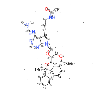 CSCOC1C[C@H](n2cc(C#CCNC(=O)C(F)(F)F)c3c(/N=C/N(C)C)ncnc32)O[C@@H]1CO[Si](c1ccccc1)(c1ccccc1)C(C)(C)C